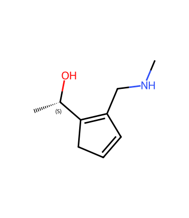 CNCC1=C([C@H](C)O)CC=C1